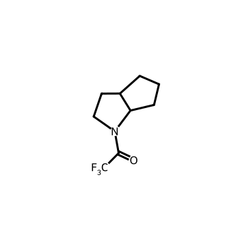 O=C(N1CCC2CCCC21)C(F)(F)F